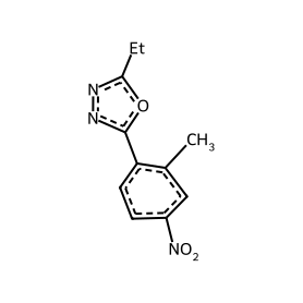 CCc1nnc(-c2ccc([N+](=O)[O-])cc2C)o1